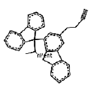 C#CCCc1cc2c(c(C3(C(C)CCCCC)c4ccccc4-c4ccccc43)c1)Cc1ccccc1-2